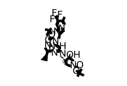 Cc1cn2cc(CN(C(=O)OC(C)(C)C)c3cc(NC[C@H]4CCN(C(=O)OC(C)(C)C)C[C@@H]4O)nc4c(C5CC5)cnn34)nc2cc1C(F)(F)F